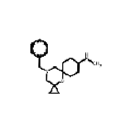 CNC1CCC2(CC1)CN(Cc1ccccc1)CC1(CC1)O2